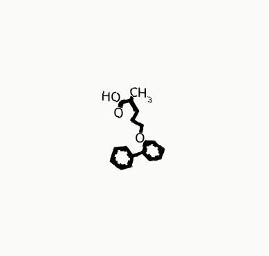 CC(=CCCOc1ccccc1-c1ccccc1)C(=O)O